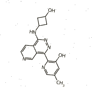 Cc1cnc(-c2nnc(NC3CC(O)C3)c3ccncc23)c(O)c1